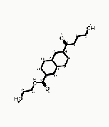 O=C(CCCO)C1CCC2CC(C(=O)OCCO)CCC2C1